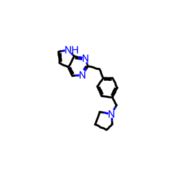 c1cc2cnc(Cc3ccc(CN4CCCC4)cc3)nc2[nH]1